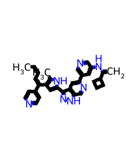 C=C(Nc1cncc(-c2cc3c(-c4cc(/C(=C\C=C/C)c5ccncc5)c(C)[nH]4)n[nH]c3cn2)c1)C1CCC1